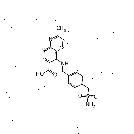 Cc1ccc2c(NCc3ccc(CS(N)(=O)=O)cc3)c(C(=O)O)cnc2n1